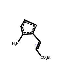 CCOC(=O)/C=C/c1sccc1N